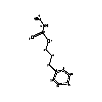 CC(C)(C)NC(=O)OCCCc1ccccc1